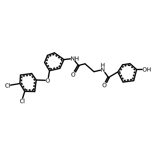 O=C(CCNC(=O)c1ccc(O)cc1)Nc1cccc(Oc2ccc(Cl)c(Cl)c2)c1